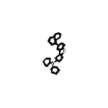 C1=CC(N(c2ccccc2)c2ccc3oc4ccc(-c5cccc6ccccc56)cc4c3c2)=CCC1